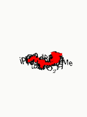 C=C1C[C@H]2[C@H](OC3CCCCO3)N(C(=O)OC(C)(C)C)c3cc(OCCCCCOc4cc5c(cc4OC)C(=O)N4C=C(c6ccc(NC(=O)[C@H](C)NC(=O)[C@@H](N)C(C)C)cc6)C[C@H]4[C@H](O[Si](C)(C)C(C)(C)C)N5C(=O)O)c(OC)cc3C(=O)N2C1